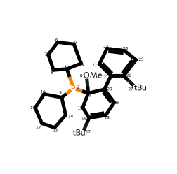 COC1(P(C2CCCCC2)C2CCCCC2)CC(C(C)(C)C)=CC=C1c1ccccc1C(C)(C)C